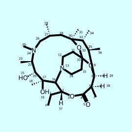 CC[C@H]1OC(=O)[C@H](C)[C@H]2OC34CCN(CC3)C1[C@@](C)(O)[C@H](O)[C@@H](C)N(C)C[C@H](C)C[C@](C)(O4)[C@H](C)[C@H]2C